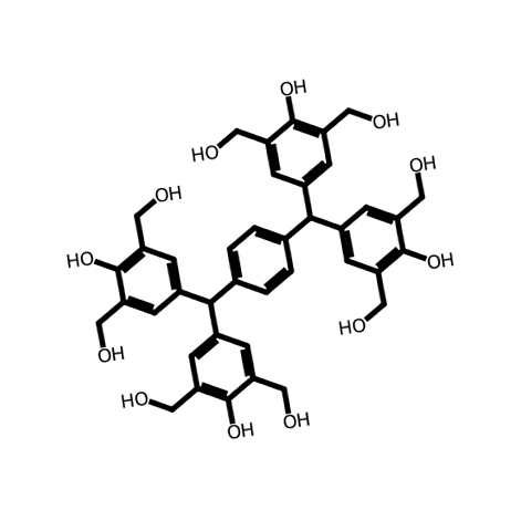 OCc1cc(C(c2ccc(C(c3cc(CO)c(O)c(CO)c3)c3cc(CO)c(O)c(CO)c3)cc2)c2cc(CO)c(O)c(CO)c2)cc(CO)c1O